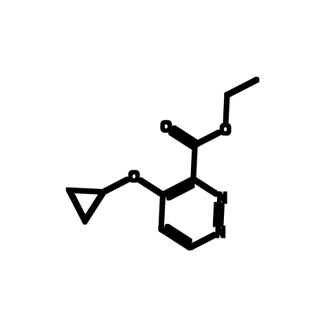 CCOC(=O)c1nnccc1OC1CC1